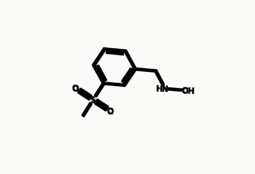 CS(=O)(=O)c1cccc(CNO)c1